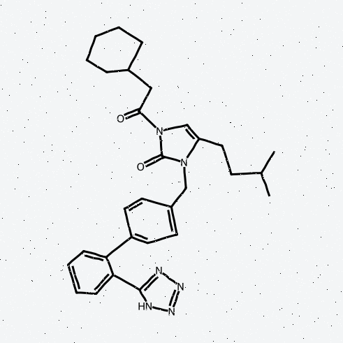 CC(C)CCc1cn(C(=O)CC2CCCCC2)c(=O)n1Cc1ccc(-c2ccccc2-c2nnn[nH]2)cc1